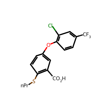 CCCSc1ccc(Oc2ccc(C(F)(F)F)cc2Cl)cc1C(=O)O